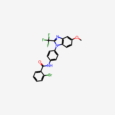 COc1ccc2c(c1)nc(C(F)(F)F)n2-c1ccc(NC(=O)c2ccccc2Br)cc1